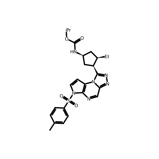 CC[C@@H]1C[C@H](NC(=O)OC(C)C)C[C@@H]1c1nnc2cnc3c(ccn3S(=O)(=O)c3ccc(C)cc3)n12